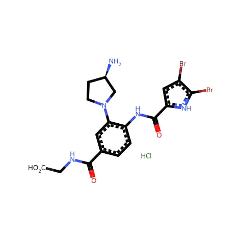 Cl.N[C@@H]1CCN(c2cc(C(=O)NCC(=O)O)ccc2NC(=O)c2cc(Br)c(Br)[nH]2)C1